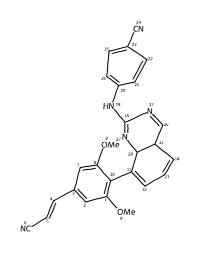 COc1cc(/C=C/C#N)cc(OC)c1C1=CC=CC2C=NC(Nc3ccc(C#N)cc3)=NC12